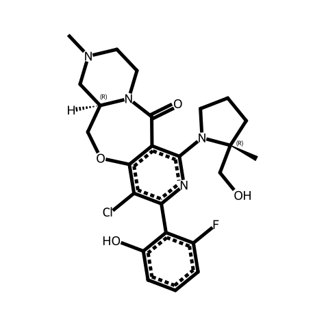 CN1CCN2C(=O)c3c(N4CCC[C@]4(C)CO)nc(-c4c(O)cccc4F)c(Cl)c3OC[C@H]2C1